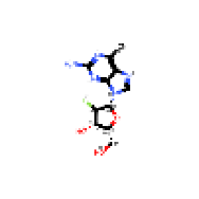 N#Cc1nc(N)nc2c1ncn2[C@@H]1O[C@H](CO)[C@H](O)C1F